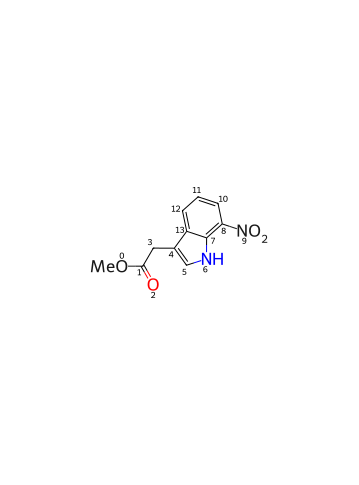 COC(=O)Cc1c[nH]c2c([N+](=O)[O-])cccc12